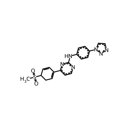 CS(=O)(=O)C1C=CC(c2ccnc(Nc3ccc(-n4ccnn4)cc3)n2)=CC1